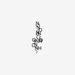 CCCNc1cccc(C(=O)Nc2cc3cn(CC(=O)N4CCN(C)CC4)nc3cc2OC)n1